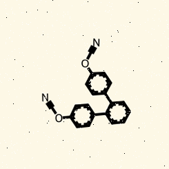 N#COc1ccc(-c2[c]cccc2-c2ccc(OC#N)cc2)cc1